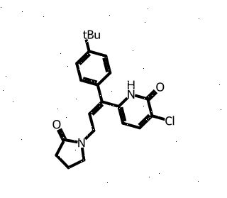 CC(C)(C)c1ccc(C(=CCN2CCCC2=O)c2ccc(Cl)c(=O)[nH]2)cc1